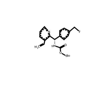 C=Cc1cccnc1[C@@H](NC(=O)OC(C)(C)C)c1ccc(CF)cc1